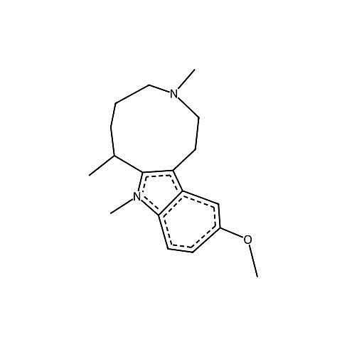 COc1ccc2c(c1)c1c(n2C)C(C)CCCN(C)CC1